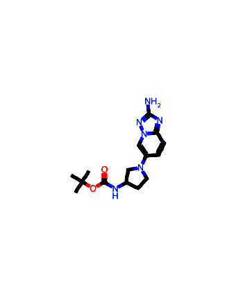 CC(C)(C)OC(=O)NC1CCN(c2ccc3nc(N)nn3c2)C1